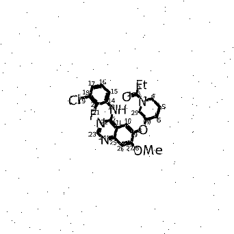 CCC(=O)N1CCC[C@@H](Oc2cc3c(Nc4cccc(Cl)c4F)ncnc3cc2OC)C1